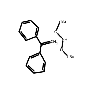 C=C(c1ccccc1)c1ccccc1.CCCCONOCCCC